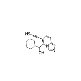 OC(c1c(C#CS)ccc2cncn12)C1CCCCC1